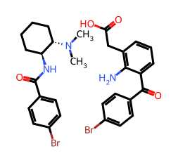 CN(C)[C@H]1CCCC[C@@H]1NC(=O)c1ccc(Br)cc1.Nc1c(CC(=O)O)cccc1C(=O)c1ccc(Br)cc1